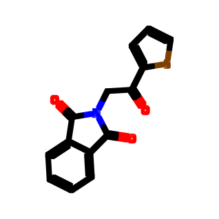 O=C(CN1C(=O)c2ccccc2C1=O)c1cccs1